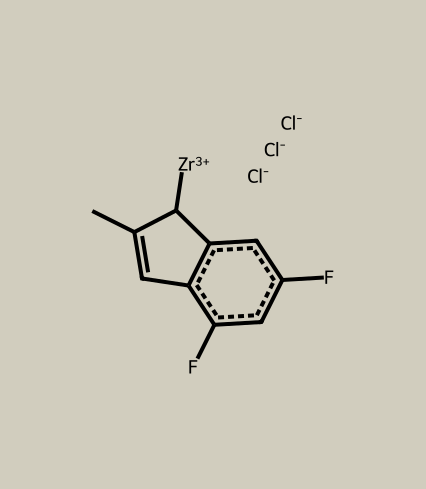 CC1=Cc2c(F)cc(F)cc2[CH]1[Zr+3].[Cl-].[Cl-].[Cl-]